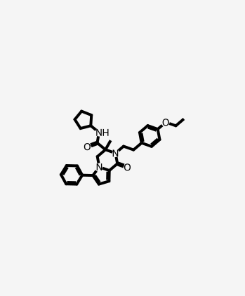 CCOc1ccc(CCN2C(=O)c3ccc(-c4ccccc4)n3CC2(C)C(=O)NC2CCCC2)cc1